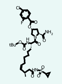 C[C@@H](/C=C\CCCCC[C@H](NC(=O)OC(C)(C)C)C(=O)N1C[C@H](OC(=O)c2ccc(Cl)cc2F)C[C@H]1C(N)=O)CC(=O)NS(=O)(=O)C1CC1